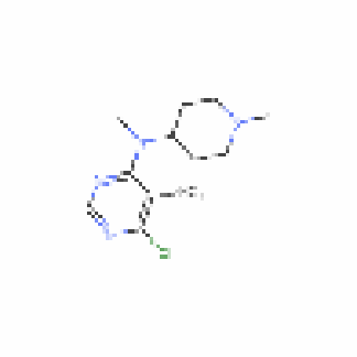 CN1CCC(N(C)c2ncnc(Cl)c2[N+](=O)[O-])CC1